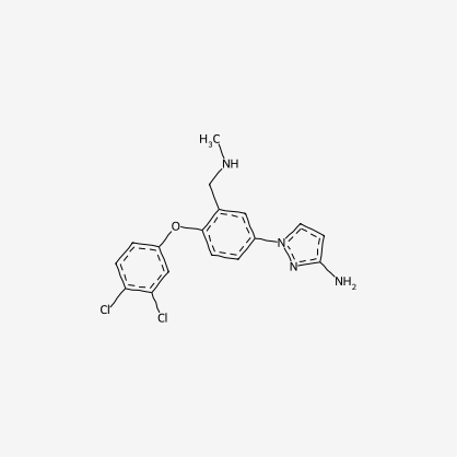 CNCc1cc(-n2ccc(N)n2)ccc1Oc1ccc(Cl)c(Cl)c1